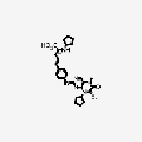 CC[C@@H]1C(=O)N(C)c2cnc(Nc3ccc(C=CC[C@H](NC4CCCC4)C(=O)O)cc3)nc2N1C1CCCC1